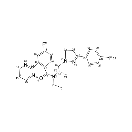 CCN(C(=O)c1ccc(F)cc1-c1ncccn1)[C@@H](C)Cn1ccc(-c2ccc(F)cc2)n1